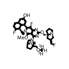 [2H]C([2H])([2H])OCC12CCC(CN(c3nc(OC[C@@]45CCCN4C/C(=C\F)C5)nc4c(F)c(-c5cc(O)cc6ccc(F)c(C#C)c56)nc(OC)c34)C1)N2